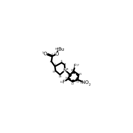 CC(C)(C)OC(=O)CC1CCN(c2c(F)cc([N+](=O)[O-])cc2F)CC1